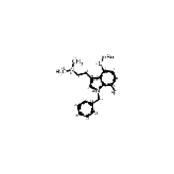 CCCCOc1ccc(F)c2c1c(CCN(C)C)cn2Cc1ccccc1